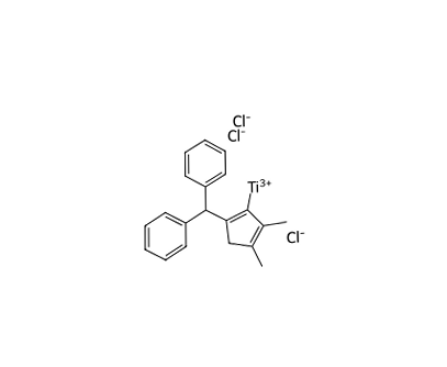 CC1=C(C)[C]([Ti+3])=C(C(c2ccccc2)c2ccccc2)C1.[Cl-].[Cl-].[Cl-]